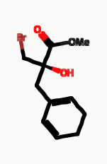 COC(=O)[C@@](O)(CBr)CC1=CCCC=C1